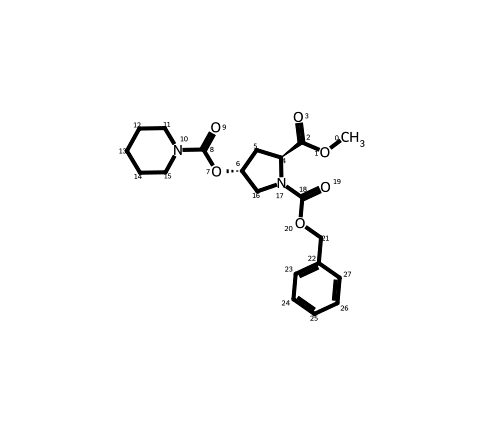 COC(=O)[C@@H]1C[C@@H](OC(=O)N2CCCCC2)CN1C(=O)OCc1ccccc1